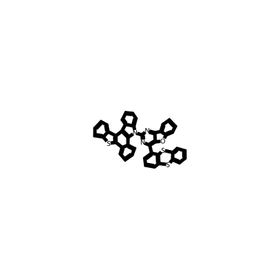 c1ccc2c(c1)Sc1cccc(-c3nc(-n4c5ccccc5c5c6c7ccccc7sc6c6ccccc6c54)nc4c3oc3ccccc34)c1S2